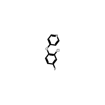 Fc1ccc(Oc2ccncc2)c(Cl)c1